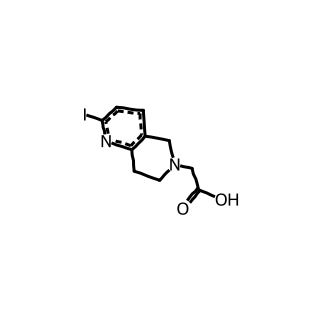 O=C(O)CN1CCc2nc(I)ccc2C1